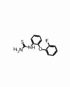 NC(=S)Nc1ccccc1Oc1ccccc1F